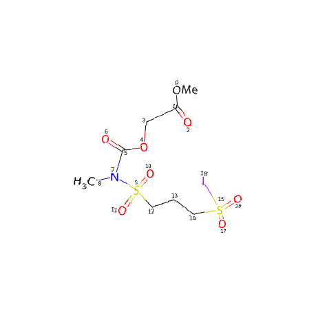 COC(=O)COC(=O)N(C)S(=O)(=O)CCCS(=O)(=O)I